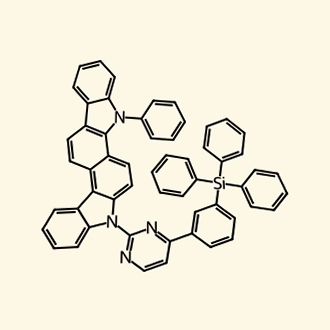 c1ccc(-n2c3ccccc3c3ccc4c(ccc5c4c4ccccc4n5-c4nccc(-c5cccc([Si](c6ccccc6)(c6ccccc6)c6ccccc6)c5)n4)c32)cc1